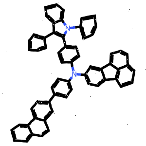 c1ccc(-c2c(-c3ccc(N(c4ccc(-c5ccc6c(ccc7ccccc76)c5)cc4)c4ccc5c(c4)-c4cccc6cccc-5c46)cc3)n(-c3ccccc3)c3ccccc23)cc1